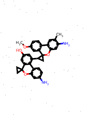 COc1ccc2c(c1)C1(CC1c1cc(O)cc3c1-c1ccc(N)cc1OC31CC1)Oc1cc(N)c(C)cc1-2